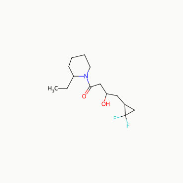 CCC1CCCCN1C(=O)CC(O)CC1CC1(F)F